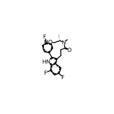 C[C@@H](CO)N(C)C(=O)CCc1c(-c2ccc(F)cc2)[nH]c2c(F)cc(F)cc12